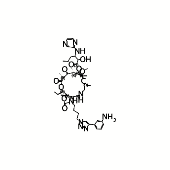 CC[C@H]1OC(=O)[C@H](C)C(=O)[C@H](C)[C@@H](O[C@@H]2OC(C)CC(Nc3cnccn3)C2O)[C@](C)(OC)C[C@@H](C)CN[C@H](C)[C@H]2N(CCCCn3cc(-c4cccc(N)c4)nn3)C(=O)O[C@]12C